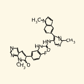 Cc1ncc(NC(=O)Nc2cc(-c3cc4cncnc4n(C)c3=O)ccc2F)c(-c2ccc3c(ccn3C)c2)n1